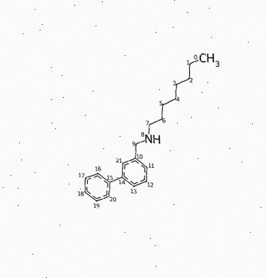 CCCCCCCCNCc1cccc(-c2ccccc2)c1